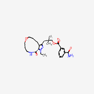 CCn1nc(CC(C)(C)COC(=O)c2cccc(C(N)=O)c2)c2c1C(=O)NCCCOCCC2